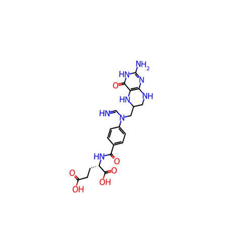 N=CN(CC1CNc2nc(N)[nH]c(=O)c2N1)c1ccc(C(=O)N[C@@H](CCC(=O)O)C(=O)O)cc1